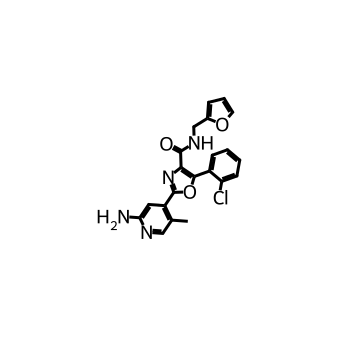 Cc1cnc(N)cc1-c1nc(C(=O)NCc2ccco2)c(-c2ccccc2Cl)o1